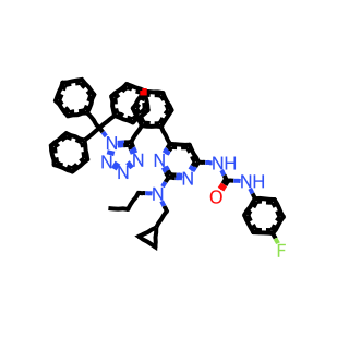 CCCN(CC1CC1)c1nc(NC(=O)Nc2ccc(F)cc2)cc(-c2ccccc2-c2nnnn2C(c2ccccc2)(c2ccccc2)c2ccccc2)n1